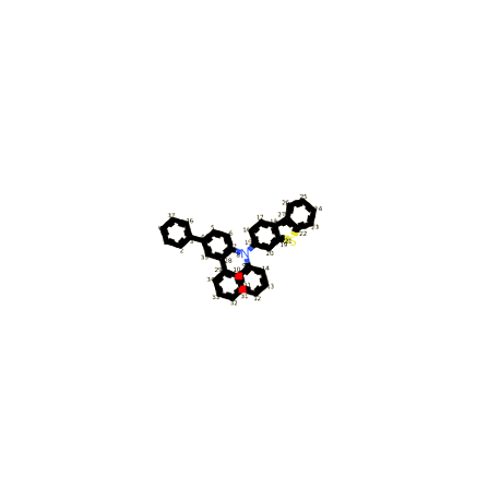 c1ccc(-c2ccc(N(c3ccccc3)c3ccc4c(c3)sc3ccccc34)c(-c3ccccc3)c2)cc1